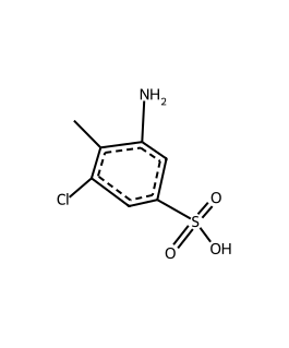 Cc1c(N)cc(S(=O)(=O)O)cc1Cl